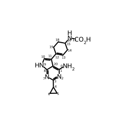 Nc1nc(C2CC2)nc2[nH]cc(C3=CCC(NC(=O)O)CC3)c12